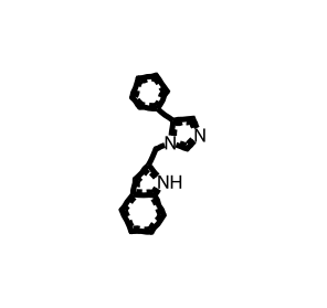 c1ccc(-c2cncn2Cc2cc3ccccc3[nH]2)cc1